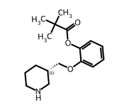 CC(C)(C)C(=O)Oc1ccccc1OC[C@H]1CCCNC1